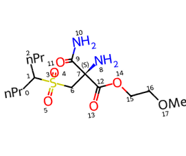 CCCC(CCC)S(=O)(=O)C[C@](N)(C(N)=O)C(=O)OCCOC